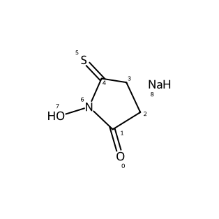 O=C1CCC(=S)N1O.[NaH]